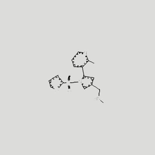 CNCc1cc(-c2cccnc2F)n(S(=O)(=O)c2ccco2)c1